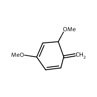 C=C1C=CC(OC)=CC1OC